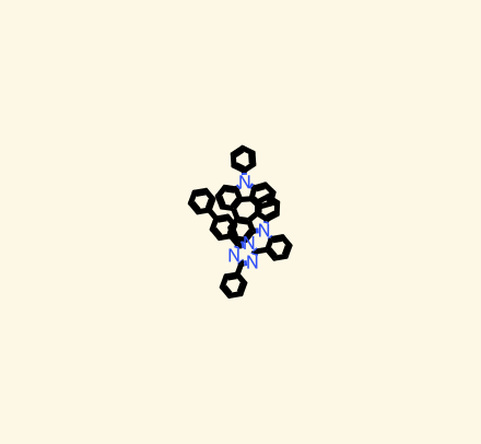 c1ccc(-c2ccc(-c3nc(-c4ccccc4)nc(-c4ccccc4-n4c5ccccc5c5c(-c6cccc7c6c6ccccc6n7-c6ccccc6)cccc54)n3)cc2)cc1